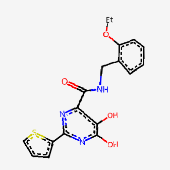 CCOc1ccccc1CNC(=O)c1nc(-c2cccs2)nc(O)c1O